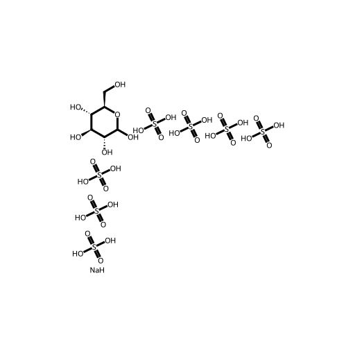 O=S(=O)(O)O.O=S(=O)(O)O.O=S(=O)(O)O.O=S(=O)(O)O.O=S(=O)(O)O.O=S(=O)(O)O.O=S(=O)(O)O.OC[C@H]1OC(O)[C@H](O)[C@@H](O)[C@@H]1O.[NaH]